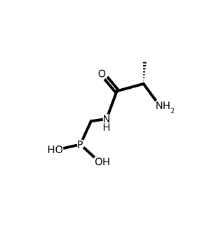 C[C@H](N)C(=O)NCP(O)O